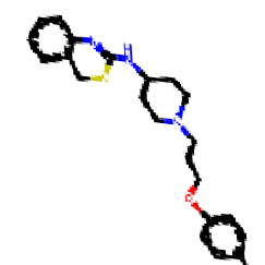 Fc1ccc(OCCCN2CCC(NC3=Nc4ccccc4CS3)CC2)cc1